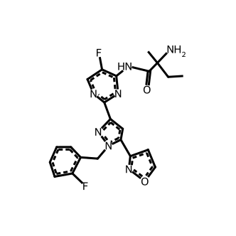 CCC(C)(N)C(=O)Nc1nc(-c2cc(-c3ccon3)n(Cc3ccccc3F)n2)ncc1F